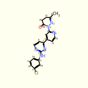 CC1=NN(c2cc(-c3ccnc(Nc4cccc(Cl)c4)n3)ccn2)C(=O)CC1